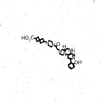 O=C(O)C1CC2(C1)CC(N1CCN(C(=O)CN3CCN4c5cc(-c6ccccc6O)nnc5NC[C@H]4C3)CC1)C2